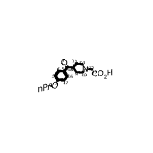 CCCOc1ccc(C(=O)C2CCN(CC(=O)O)CC2)cc1